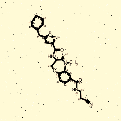 CN1C(=O)C(NC(=O)c2cc(Cc3ccccc3)on2)COc2ccc(C(=O)NCCC#N)cc21